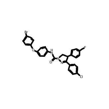 O=C(Nc1ccc(Oc2ccc(Br)cc2)cc1)N1CC(c2ccc(F)cc2)C(c2ccc(Cl)cc2)=N1